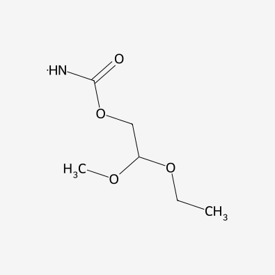 CCOC(COC([NH])=O)OC